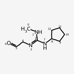 CN/C(=N\CC=O)NC1CCCC1